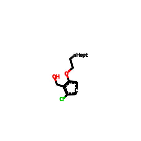 CCCCCCCCCOc1cccc(Cl)c1CO